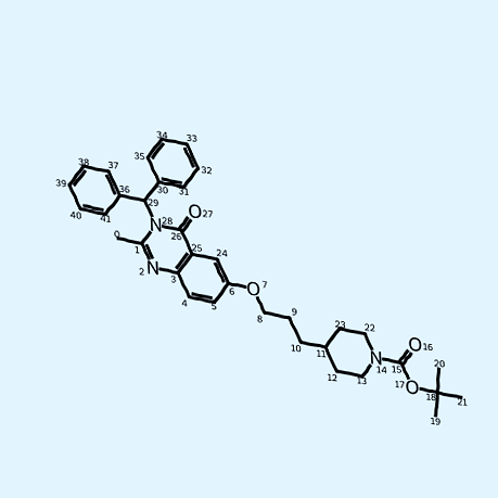 Cc1nc2ccc(OCCCC3CCN(C(=O)OC(C)(C)C)CC3)cc2c(=O)n1C(c1ccccc1)c1ccccc1